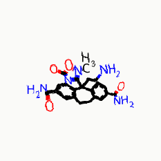 Cn1oc(=O)nc1C1(CCN)c2ccc(C(N)=O)cc2CCc2cc(C(N)=O)ccc21